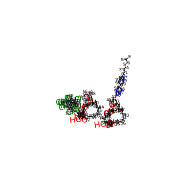 C=C/C(C)=C/CCC(=C)C.CC1=C[C@H]2C(=O)O[C@H]3C[C@@H](C/C=C(\C)C[C@@H](C)/C=C/C=C4\CO[C@H]([C@@H]1O)[C@@]42O)O[C@@]1(CC[C@H](C)[C@@H](C)O1)C3.CC[C@H]1O[C@]2(CC[C@@H]1C)C[C@@H]1C[C@@H](C/C=C(\C)C[C@@H](C)/C=C/C=C3\CO[C@@H]4[C@H](O)C(C)=C[C@@H](C(=O)O1)[C@]34O)O2.C[n+]1ccc(-c2cc[n+](C)cc2)cc1.ClC1(Cl)C2(Cl)C3(Cl)C4(Cl)C(Cl)(Cl)C5(Cl)C3(Cl)C1(Cl)C5(Cl)C24Cl.[Cl-].[Cl-]